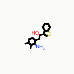 [CH2]c1ccc([CH]C(O)c2csc3ccccc23)c(N)c1C